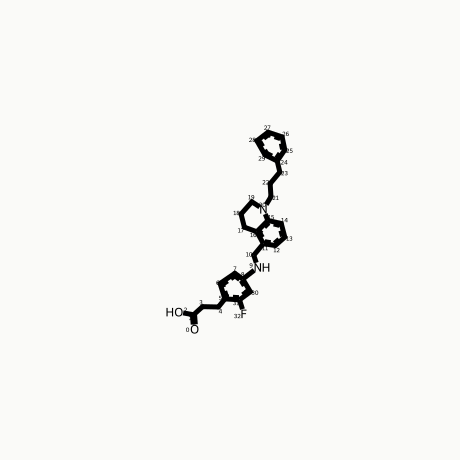 O=C(O)CCc1ccc(NCc2cccc3c2CCCN3CCCc2ccccc2)cc1F